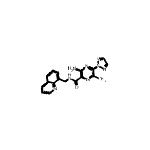 Cc1nc(C(=O)NCc2cccc3cccnc23)c(N)nc1-n1nccn1